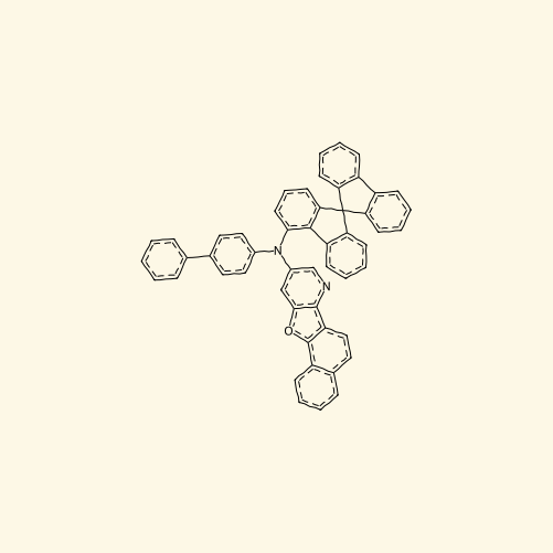 c1ccc(-c2ccc(N(c3cnc4c(c3)oc3c5ccccc5ccc43)c3cccc4c3-c3ccccc3C43c4ccccc4-c4ccccc43)cc2)cc1